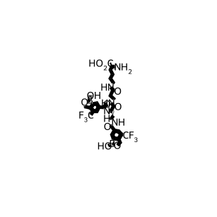 N[C@@H](CCCCNC(=O)CCNC(=O)[C@H](CCNC(=O)c1cc2c(c(C(F)(F)F)c1)COB2O)NC(=O)c1cc2c(c(C(F)(F)F)c1)COB2O)C(=O)O